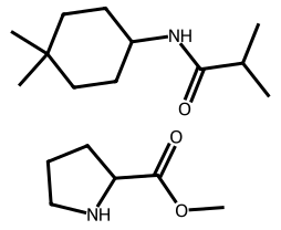 CC(C)C(=O)NC1CCC(C)(C)CC1.COC(=O)C1CCCN1